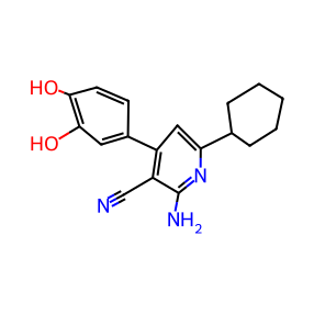 N#Cc1c(-c2ccc(O)c(O)c2)cc(C2CCCCC2)nc1N